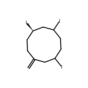 C=C1CC[C@@H](I)CC(I)CCC(I)C1